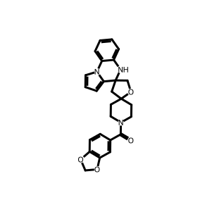 O=C(c1ccc2c(c1)OCO2)N1CCC2(CC1)CC1(CO2)Nc2ccccc2-n2cccc21